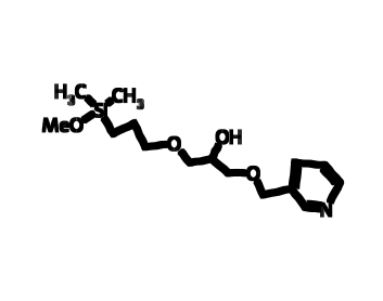 CO[Si](C)(C)CCCOCC(O)COCc1cccnc1